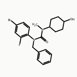 CN(C(=O)N(Cc1ccccc1)c1ccc(Br)cc1F)C1CCC(O)CC1